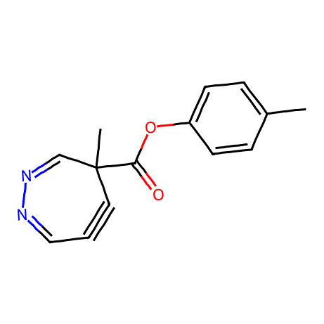 Cc1ccc(OC(=O)C2(C)C#CC=NN=C2)cc1